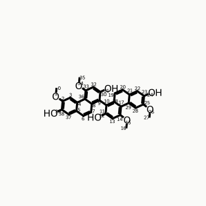 COc1cc2c(ccc3c(-c4c(O)cc(OC)c5c4ccc4cc(O)c(OC)cc45)c(O)cc(OC)c32)cc1O